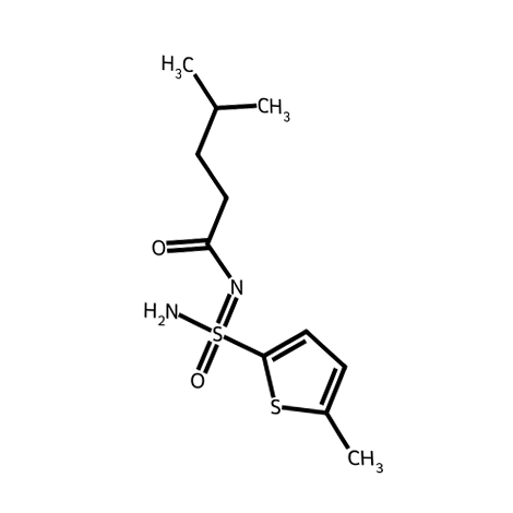 Cc1ccc(S(N)(=O)=NC(=O)CCC(C)C)s1